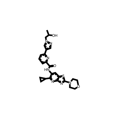 CC(O)Cn1cc(-c2cccc(C(=O)Nc3cc4sc(N5CCOCC5)nc4nc3C3CC3)n2)cn1